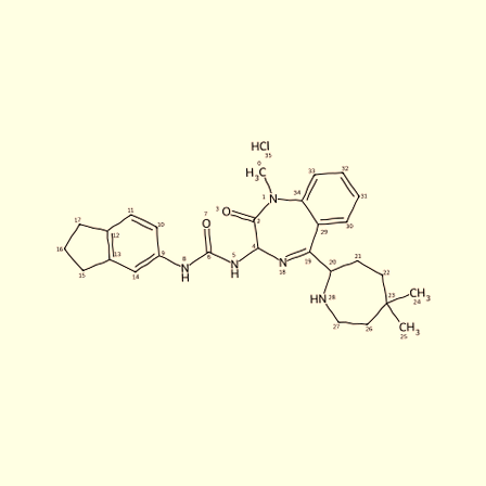 CN1C(=O)C(NC(=O)Nc2ccc3c(c2)CCC3)N=C(C2CCC(C)(C)CCN2)c2ccccc21.Cl